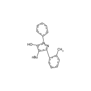 CCCCc1c(-c2ccccc2C)nn(-c2ccccc2)c1O